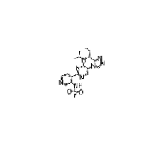 CCC1c2nncn2-c2cnc(-c3ccncc3NS(C)(=O)=O)nc2N1C(C)C